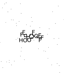 O=C(O)C1(c2ccc(OCC(F)(F)F)c(F)c2)CC(F)(F)C1